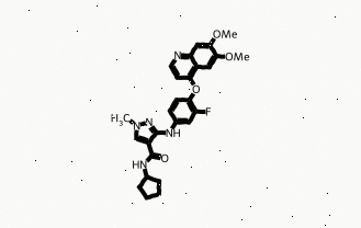 COc1cc2nccc(Oc3ccc(Nc4nn(C)cc4C(=O)NC4CCCC4)cc3F)c2cc1OC